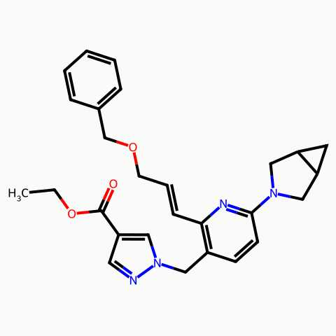 CCOC(=O)c1cnn(Cc2ccc(N3CC4CC4C3)nc2/C=C/COCc2ccccc2)c1